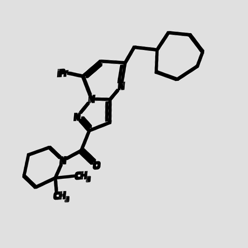 CC(C)c1cc(CC2CCCCCC2)nc2cc(C(=O)N3CCCCC3(C)C)nn12